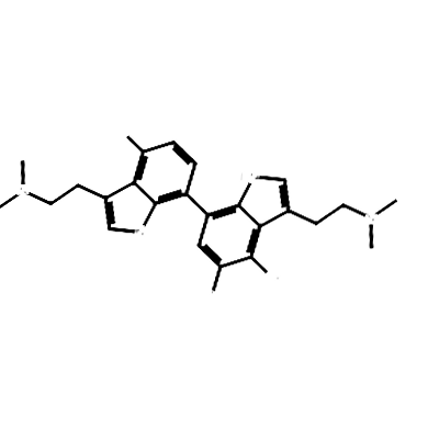 CN(C)CCc1c[nH]c2c(-c3cc(O)c(O)c4c(CCN(C)C)c[nH]c34)ccc(O)c12